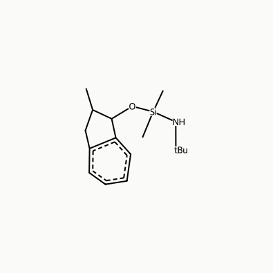 CC1Cc2ccccc2C1O[Si](C)(C)NC(C)(C)C